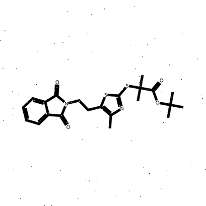 Cc1nc(SC(C)(C)C(=O)OC(C)(C)C)sc1CCN1C(=O)c2ccccc2C1=O